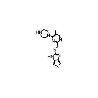 Cc1cnc(CSc2nc3cscc3[nH]2)nc1N1CCNCC1